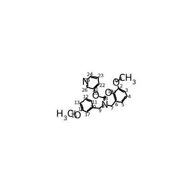 COc1cccc(CN(Cc2cccc(OC)c2)C(=O)Oc2cccnc2)c1